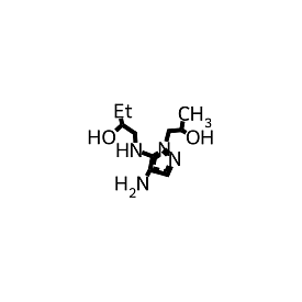 CCC(O)CNc1c(N)cnn1CC(C)O